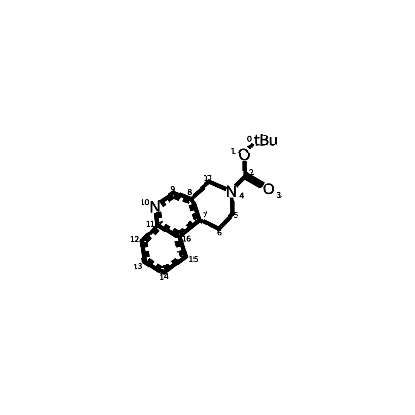 CC(C)(C)OC(=O)N1CCc2c(cnc3ccccc23)C1